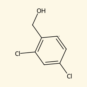 OCc1[c]cc(Cl)cc1Cl